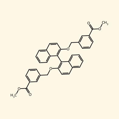 COC(=O)c1cccc(COc2ccc3ccccc3c2-c2c(OCc3cccc(C(=O)OC)c3)ccc3ccccc23)c1